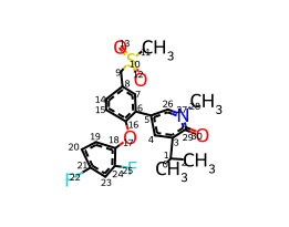 CC(C)c1cc(-c2cc(CS(C)(=O)=O)ccc2Oc2ccc(F)cc2F)cn(C)c1=O